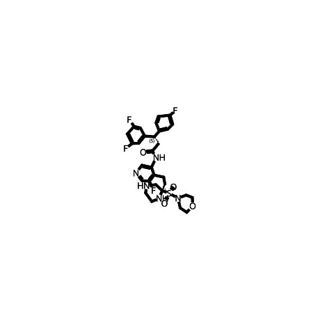 O=C(C[C@@H](c1ccc(F)cc1)c1cc(F)cc(F)c1)Nc1cncc(F)c1CC[C@]1(S(=O)(=O)N2CCOCC2)CNCCN1